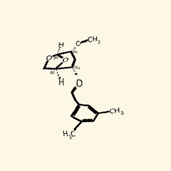 CO[C@@H]1C[C@H](OCc2cc(C)cc(C)c2)[C@H]2CO[C@@H]1O2